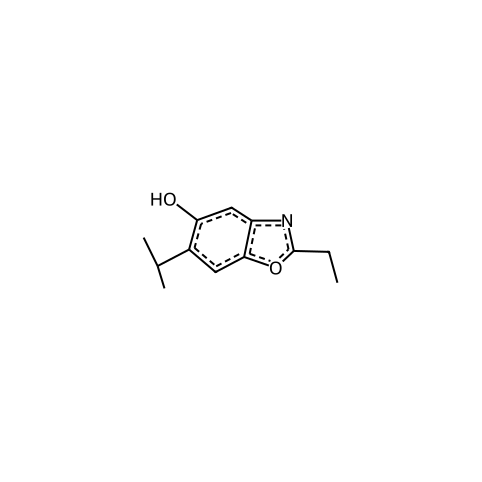 CCc1nc2cc(O)c(C(C)C)cc2o1